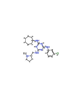 CCN1CCCC1CNc1nc(Nc2cccc(Cl)c2)nc(NC2CCCCCC2)n1